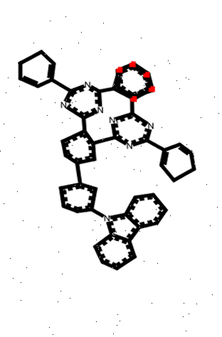 C1=CC(c2nc(-c3ccccc3)nc(-c3ccc(-c4cccc(-n5c6ccccc6c6ccccc65)c4)cc3-c3nc(C4=CCCC=C4)nc(-c4ccccc4)n3)n2)=CCC1